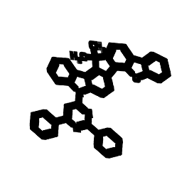 CC1(C)c2ccc3c(oc4ccccc43)c2-c2ccc3c(c21)c1ccccc1n3-c1cc(-c2ccccc2)nc(-c2ccccc2)n1